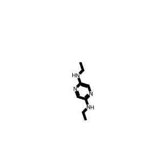 CCNc1cnc(NCC)cn1